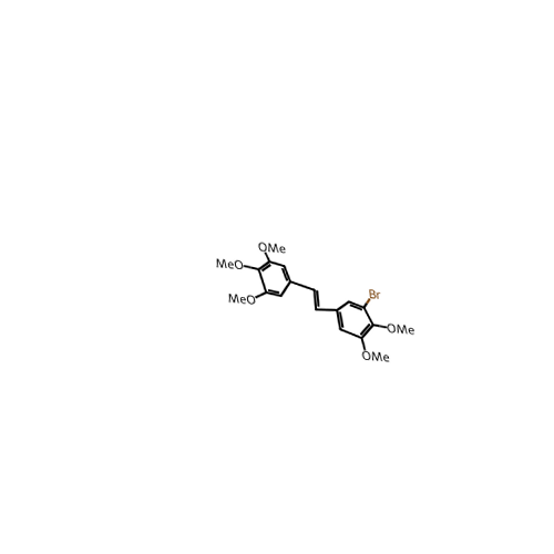 COc1cc(/C=C/c2cc(OC)c(OC)c(OC)c2)cc(Br)c1OC